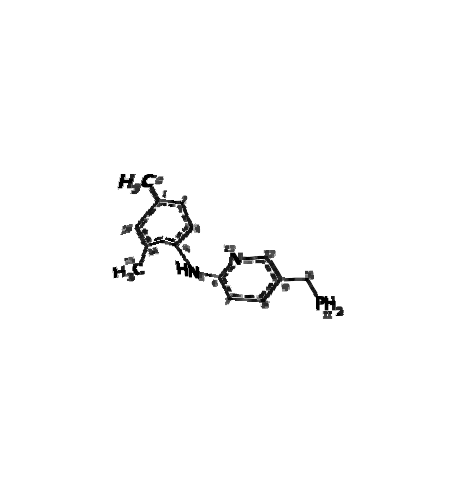 Cc1ccc(Nc2ccc(CP)cn2)c(C)c1